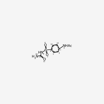 CC(=O)Nc1ccc(S(=O)(=O)NC(N)=O)cc1